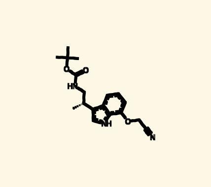 C[C@H](CNC(=O)OC(C)(C)C)c1c[nH]c2c(OCC#N)cccc12